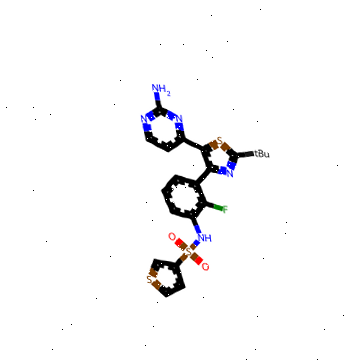 CC(C)(C)c1nc(-c2cccc(NS(=O)(=O)c3ccsc3)c2F)c(-c2ccnc(N)n2)s1